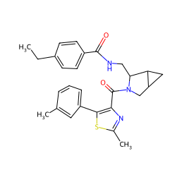 CCc1ccc(C(=O)NCC2C3CC3CN2C(=O)c2nc(C)sc2-c2cccc(C)c2)cc1